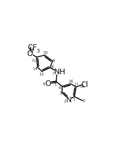 Cc1ncc(C(=O)Nc2ccc(OC(F)(F)F)cc2)cc1Cl